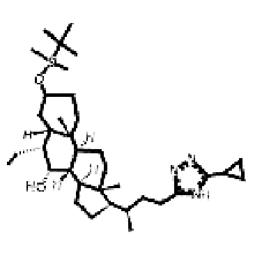 CC[C@H]1[C@@H](O)[C@@H]2[C@H](CC[C@]3(C)[C@@H]([C@H](C)CCc4nnc(C5CC5)[nH]4)CC[C@@H]23)[C@@]2(C)CCC(O[Si](C)(C)C(C)(C)C)C[C@@H]12